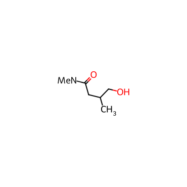 CNC(=O)CC(C)CO